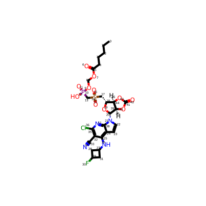 CCCCCC(=O)OCOP(=O)(O)CS(=O)(=O)C[C@H]1O[C@@H](n2ccc3c(NC4CC(F)C4)c(C#N)c(Cl)nc32)[C@@H]2OC(=O)O[C@@H]21